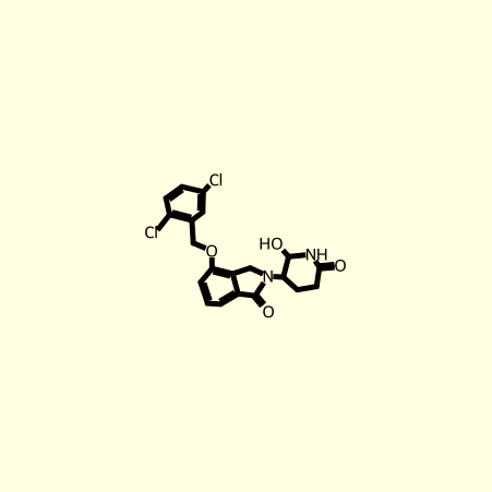 O=C1CCC(N2Cc3c(OCc4cc(Cl)ccc4Cl)cccc3C2=O)C(O)N1